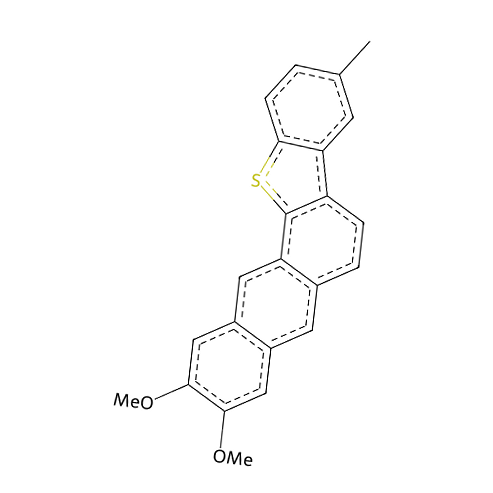 COc1cc2cc3ccc4c5cc(C)ccc5sc4c3cc2cc1OC